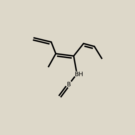 C=BBC(/C=C\C)=C(\C)C=C